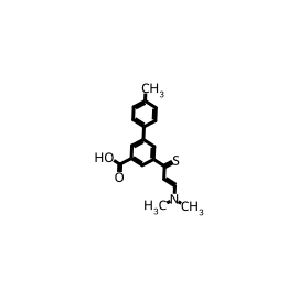 Cc1ccc(-c2cc(C(=O)O)cc(C(=S)C=CN(C)C)c2)cc1